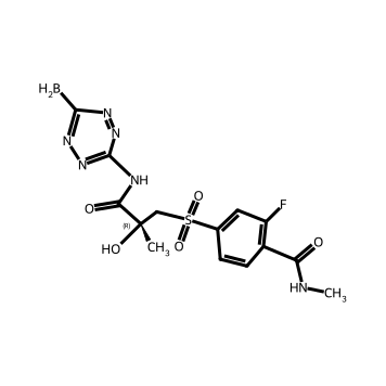 Bc1nnc(NC(=O)[C@@](C)(O)CS(=O)(=O)c2ccc(C(=O)NC)c(F)c2)nn1